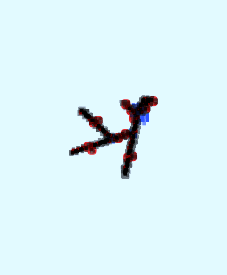 CCCCCCCOC(=O)CCCCCCCCN(CCCCCCCCC(=O)OCCCCCCC)CCOCCOCCN(CCCCCCCCC(=O)OCCCCCCC)CCCCCC(=O)Nc1nc(OCCOC)nc2c1[nH]c(=O)n2Cc1ccc(C=O)cc1